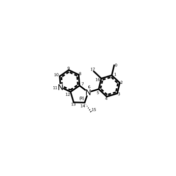 Cc1cccc(N2c3cccnc3C[C@H]2C)c1C